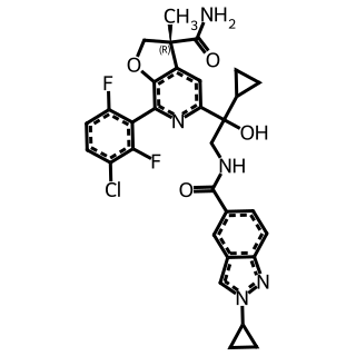 C[C@]1(C(N)=O)COc2c1cc(C(O)(CNC(=O)c1ccc3nn(C4CC4)cc3c1)C1CC1)nc2-c1c(F)ccc(Cl)c1F